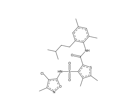 Cc1cc(C)c(NC(=O)c2sc(C)c(C)c2S(=O)(=O)Nc2onc(C)c2Cl)c(CCC(C)C)c1